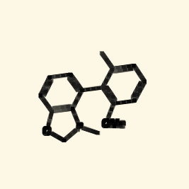 COc1cccc(C)c1-c1cccc2c1P(C)CO2